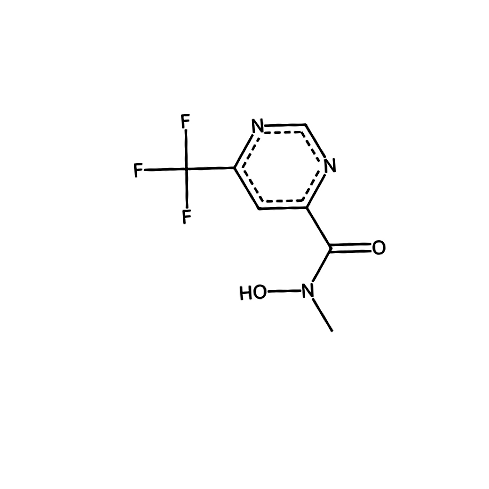 CN(O)C(=O)c1cc(C(F)(F)F)ncn1